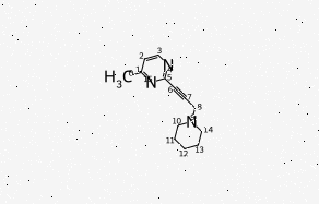 Cc1ccnc(C#CCN2CCCCC2)n1